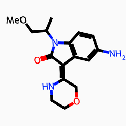 COCC(C)N1C(=O)/C(=C2/COCCN2)c2cc(N)ccc21